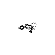 C=N/C(=C\C=N/C(C)c1ccc(F)cc1)N(C)C(C)(CC)C1CC1